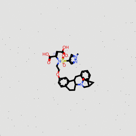 Cn1cc(S(=O)(=O)N(CCOc2ccc3c(c2)C(Cc2ccccc2)C(N2CC4CC4C2)CC3)/C(=C\C(=O)O)C(=O)O)cn1